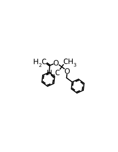 C=C(OC(C)(C)OCc1ccccc1)c1ccccc1